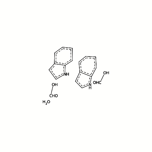 O.O=CO.O=CO.c1ccc2[nH]ccc2c1.c1ccc2[nH]ccc2c1